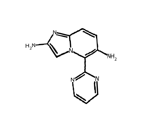 Nc1cn2c(-c3ncccn3)c(N)ccc2n1